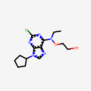 CCN(OCCO)c1nc(Cl)nc2c1ncn2C1CCCC1